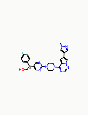 Cn1cc(-c2cc3c(N4CCN(c5ncc([C@@H](CO)c6ccc(F)cc6)cn5)CC4)ncnn3c2)cn1